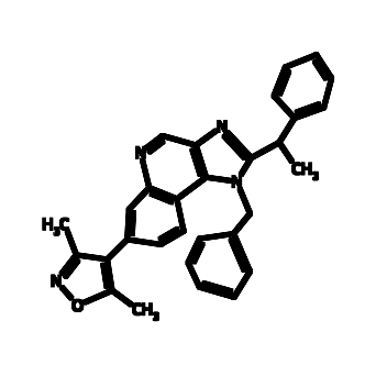 Cc1noc(C)c1-c1ccc2c(c1)ncc1nc(C(C)c3ccccc3)n(Cc3ccccc3)c12